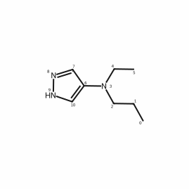 CCCN(CC)c1[c]n[nH]c1